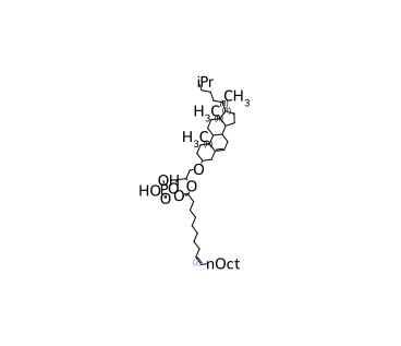 CCCCCCCC/C=C\CCCCCCCC(=O)OC(COC1CC[C@@]2(C)C(=CCC3C2CC[C@@]2(C)C3CC[C@@H]2[C@H](C)CCCC(C)C)C1)COP(=O)(O)O